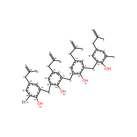 C=C(C)Cc1cc(C)c(O)c(Cc2cc(CC(=C)C)cc(Cc3cc(CC(=C)C)cc(Cc4cc(CC(=C)C)cc(CC)c4O)c3O)c2O)c1